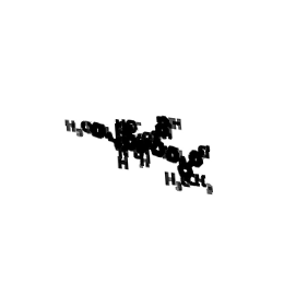 CN1CCN(CC[C@@H]2CNc3cc(S(=O)(=O)NC(=O)c4ccc(N5CCN(CC6=C(c7ccc(Cl)cc7)CC(C)(C)CC6)CC5)cc4Oc4cnc5[nH]ccc5c4)cc([N+](=O)[O-])c3N2)CC1